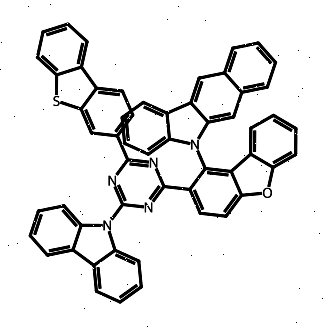 c1ccc2cc3c(cc2c1)c1ccccc1n3-c1c(-c2nc(-c3ccc4c(c3)sc3ccccc34)nc(-n3c4ccccc4c4ccccc43)n2)ccc2oc3ccccc3c12